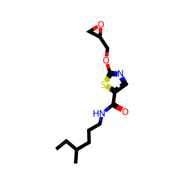 CCC(C)CCCNC(=O)c1cnc(OCC2CO2)s1